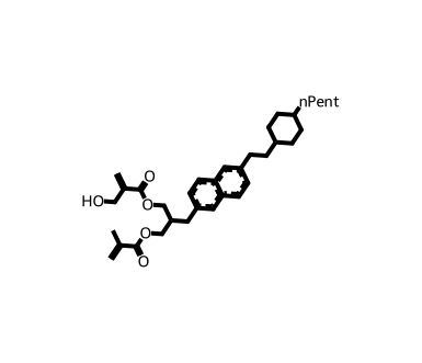 C=C(C)C(=O)OCC(COC(=O)C(=C)CO)Cc1ccc2cc(CCC3CCC(CCCCC)CC3)ccc2c1